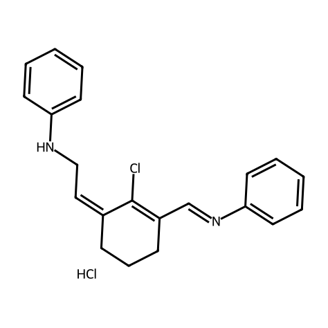 Cl.ClC1=C(C=Nc2ccccc2)CCCC1=CCNc1ccccc1